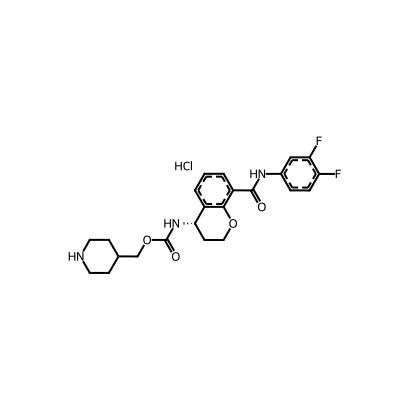 Cl.O=C(N[C@H]1CCOc2c(C(=O)Nc3ccc(F)c(F)c3)cccc21)OCC1CCNCC1